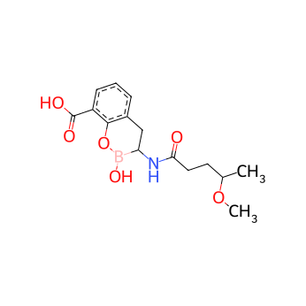 COC(C)CCC(=O)NC1Cc2cccc(C(=O)O)c2OB1O